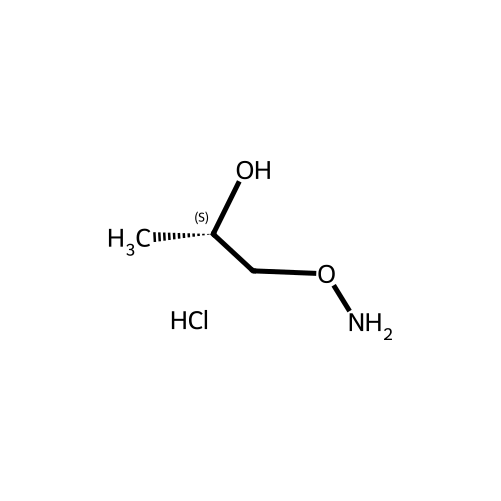 C[C@H](O)CON.Cl